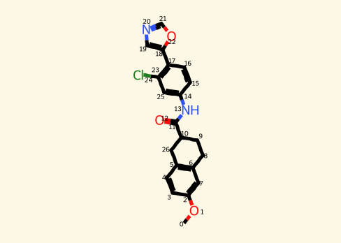 COc1ccc2c(c1)CCC(C(=O)Nc1ccc(-c3cnco3)c(Cl)c1)C2